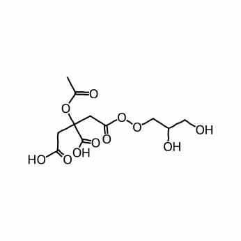 CC(=O)OC(CC(=O)O)(CC(=O)OOCC(O)CO)C(=O)O